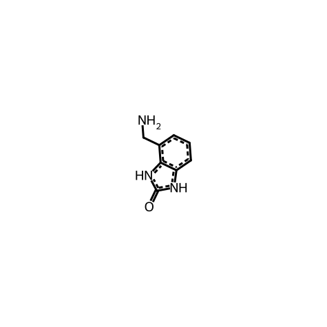 NCc1cccc2[nH]c(=O)[nH]c12